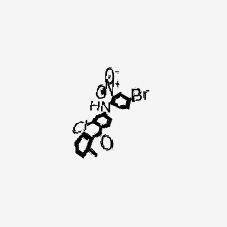 Cc1ccccc1C(=O)c1ccc(Nc2ccc(Br)cc2[N+](=O)[O-])cc1Cl